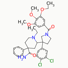 CCOc1cc(C(=O)N2CCC(c3ccc(Cl)c(Cl)c3)(C3CC(C(N)=O)(c4ccccc4)CCN3CC)C2)cc(OC)c1OC